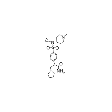 CN1CCC(N(C2CC2)S(=O)(=O)c2ccc(C(CC3CCCC3)C(N)=O)cc2)CC1